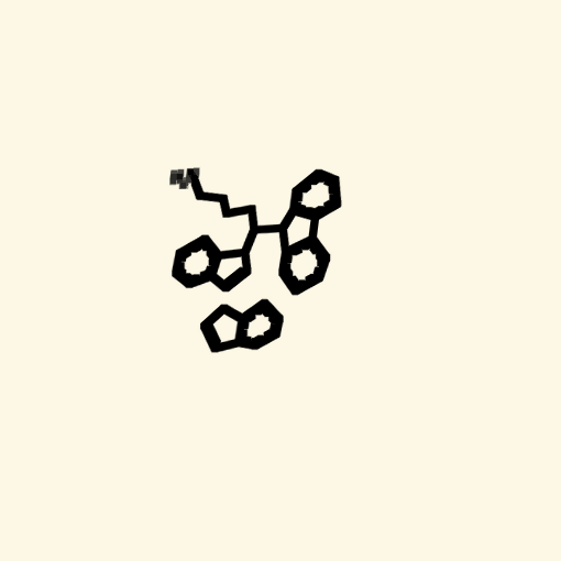 C1=Cc2ccccc2C1.NCCCCC(C1C=Cc2ccccc21)C1c2ccccc2-c2ccccc21